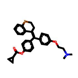 CN(C)CCOc1ccc(C(=C2CCSc3ccccc32)c2ccc(OC(=O)C3CC3)cc2)cc1